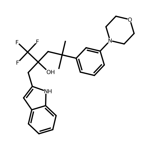 CC(C)(CC(O)(Cc1cc2ccccc2[nH]1)C(F)(F)F)c1cccc(N2CCOCC2)c1